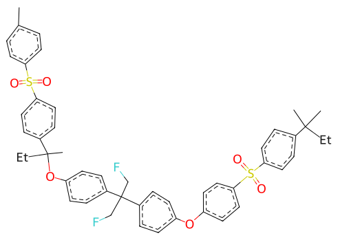 CCC(C)(C)c1ccc(S(=O)(=O)c2ccc(Oc3ccc(C(CF)(CF)c4ccc(OC(C)(CC)c5ccc(S(=O)(=O)c6ccc(C)cc6)cc5)cc4)cc3)cc2)cc1